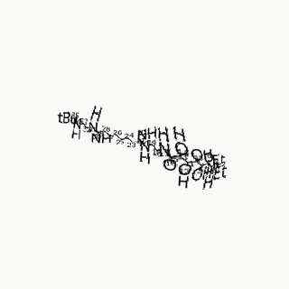 CCC(C)(CC)NC(=O)[C@@H](O)[C@H](O)[C@H](O)[C@@H](O)C(=O)NCCNC(=N)CCCCCCC(=N)NCCNC(C)(C)C